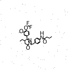 CCCC(=O)Nc1ccc(CN2N=C(c3ccc(OC(F)F)c(OC)c3)C(CC)CC2=O)cc1